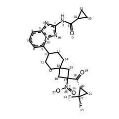 O=C(Nc1nc2cccc(C3CCC4(CC3)CC(C(=O)[C@@H]3CC3(F)F)([N+](=O)[O-])C4)n2n1)C1CC1